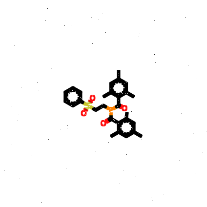 Cc1cc(C)c(C(=O)P(CCS(=O)(=O)c2ccccc2)C(=O)c2c(C)cc(C)cc2C)c(C)c1